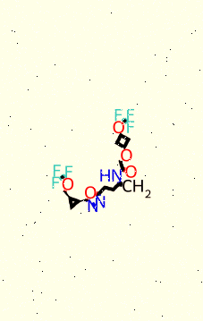 C=C(CCc1nnc([C@H]2C[C@H]2COC(F)(F)F)o1)NC(=O)CO[C@H]1C[C@@H](OC(F)(F)F)C1